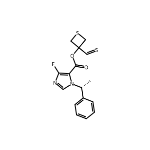 C[C@H](c1ccccc1)n1cnc(F)c1C(=O)OC1(C=S)CSC1